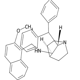 COc1ccc2ccccc2c1CN[C@@H]1C2CCN(CC2)[C@H]1C(c1ccccc1)c1ccccc1